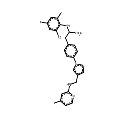 CCc1cc(F)cc(C)c1NC(Cc1ccc(-n2ccc(CNc3cc(C)ccn3)c2)cc1)C(=O)O